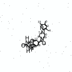 Cc1cc(C)c(N2CCN(C(=O)c3ccc(C4(C(F)(F)F)NC(=O)NC4=O)cc3)CC2)nc1C